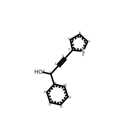 OC(C#Cc1cccs1)c1ccccc1